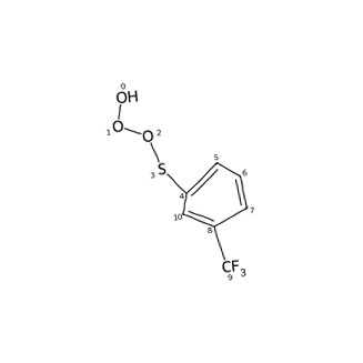 OOOSc1cccc(C(F)(F)F)c1